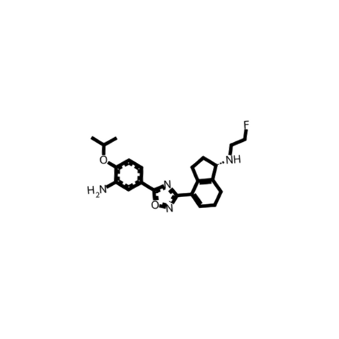 CC(C)Oc1ccc(-c2nc(C3=CCCC4=C3CC[C@@H]4NCCF)no2)cc1N